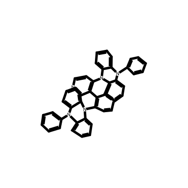 c1ccc(N2c3ccccc3N(c3ccncc3-c3cnccc3N3c4ccccc4N(c4ccccc4)c4ccccc43)c3ccccc32)cc1